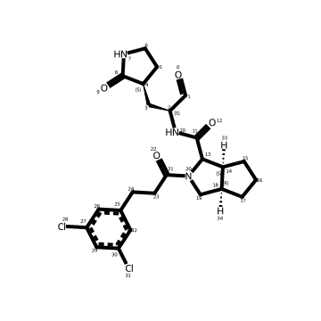 O=C[C@H](C[C@@H]1CCNC1=O)NC(=O)C1[C@H]2CCC[C@H]2CN1C(=O)CCc1cc(Cl)cc(Cl)c1